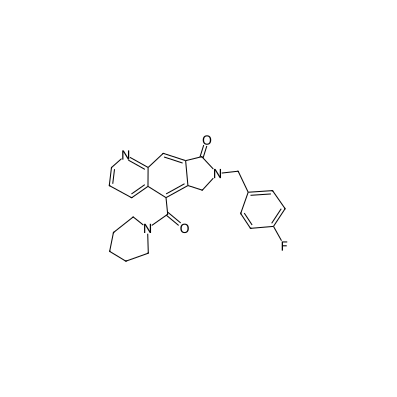 O=C1c2cc3ncccc3c(C(=O)N3CCCCC3)c2CN1Cc1ccc(F)cc1